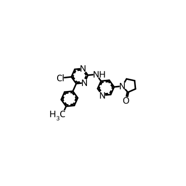 Cc1ccc(-c2nc(Nc3cncc(N4CCCC4=O)c3)ncc2Cl)cc1